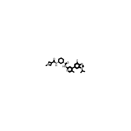 Cc1cnc(NC(=O)[C@H]2CCC[C@@H](NC(=O)C3CN(C)C3)C2)cc1-c1cc(F)c2ncn(C(C)C)c2c1